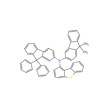 CC1(C)c2ccccc2-c2cc(N(c3ccc4c(c3)C(c3ccccc3)(c3ccccc3)c3ccccc3-4)c3cccc4sc5ccccc5c34)ccc21